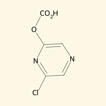 O=C(O)Oc1cncc(Cl)n1